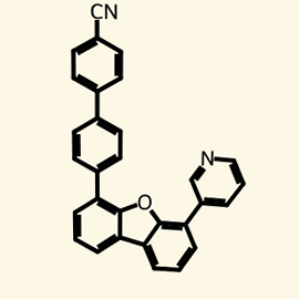 N#Cc1ccc(-c2ccc(-c3cccc4c3oc3c(-c5cccnc5)cccc34)cc2)cc1